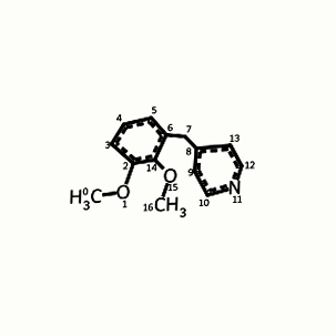 COc1cccc(Cc2ccncc2)c1OC